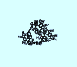 CCNC(=O)c1noc(-c2cc(C(C)C)c(O)cc2O)c1-c1ccc2c(n1)CCN(CCCNC(=O)c1noc(-c3cc(C(C)C)c(O)cc3O)c1-c1cc3c(s1)CCN(CN(CC)C(=O)c1noc(-c4cc(C(C)C)c(O)cc4O)c1-c1cc4c(s1)CCN(C)C4)C3)C2